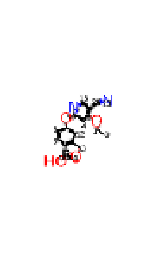 CCOc1cc(Oc2ccc3c(c2)COB3O)ncc1C#N